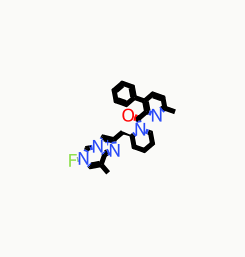 CC1=CN(F)C[N+]2C=C(C[C@@H]3CCCCN3C(=O)c3nc(C)ccc3-c3ccccc3)N=C12